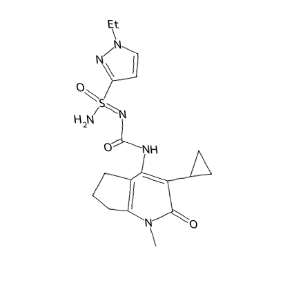 CCn1ccc(S(N)(=O)=NC(=O)Nc2c3c(n(C)c(=O)c2C2CC2)CCC3)n1